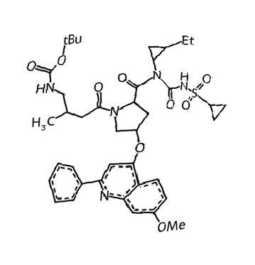 CCC1CC1N(C(=O)NS(=O)(=O)C1CC1)C(=O)C1CC(Oc2cc(-c3ccccc3)nc3cc(OC)ccc23)CN1C(=O)CC(C)CNC(=O)OC(C)(C)C